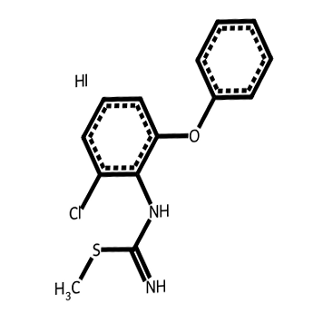 CSC(=N)Nc1c(Cl)cccc1Oc1ccccc1.I